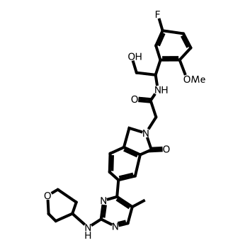 COc1ccc(F)cc1C(CO)NC(=O)CN1Cc2ccc(-c3nc(NC4CCOCC4)ncc3C)cc2C1=O